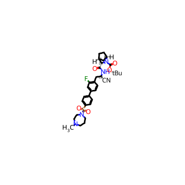 CN1CCCN(S(=O)(=O)c2ccc(-c3ccc(C[C@@H](C#N)NC(=O)[C@@H]4[C@H]5CC[C@H](C5)N4C(=O)OC(C)(C)C)c(F)c3)cc2)CC1